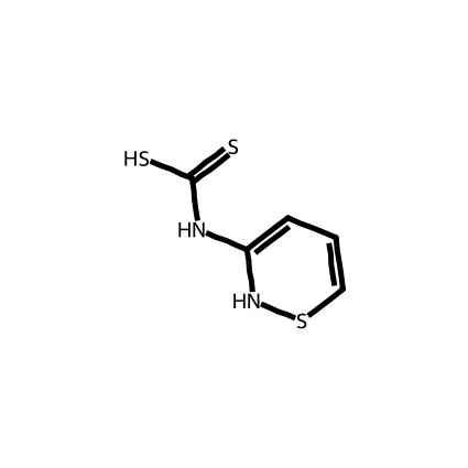 S=C(S)NC1=CC=CSN1